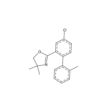 Cc1ccccc1-c1ccc(Cl)cc1C1=NC(C)(C)CO1